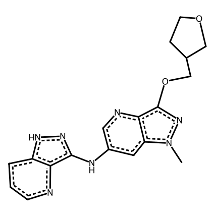 Cn1nc(OCC2CCOC2)c2ncc(Nc3n[nH]c4cccnc34)cc21